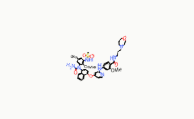 COc1cc(Nc2cc(Oc3ccc(N(C(N)=O)c4cc(C(C)(C)C)cc(NS(C)(=O)=O)c4OC)c4ccccc34)ccn2)ccc1C(=O)NCCCN1CCCOCC1